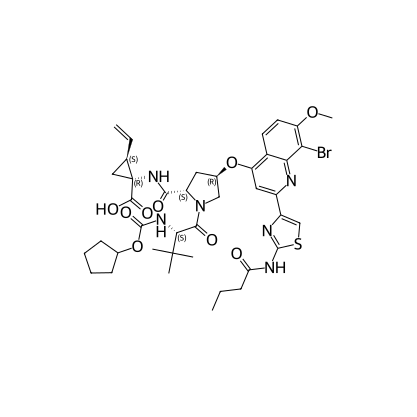 C=C[C@@H]1C[C@]1(NC(=O)[C@@H]1C[C@@H](Oc2cc(-c3csc(NC(=O)CCC)n3)nc3c(Br)c(OC)ccc23)CN1C(=O)[C@@H](NC(=O)OC1CCCC1)C(C)(C)C)C(=O)O